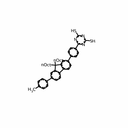 CCCCCCCCC1(CCCCCCCC)c2cc(-c3ccc(C)cc3)ccc2-c2ccc(-c3ccc(-c4nc(S)nc(S)n4)cc3)cc21